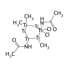 CC(=O)[NH][Ti]1[Ti][Ti]([CH3])([CH3])[Ti][Ti]([Cl])([Cl])([NH]C(C)=O)[Ti]1[CH3]